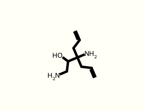 C=CCC(N)(CC=C)C(O)CN